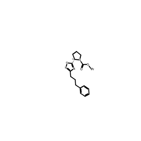 CC(C)OC(=O)N1CCC[C@H]1c1nc(CCCc2ccccc2)no1